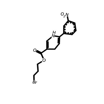 O=C(OCCCBr)C1=CNC(c2cccc([N+](=O)[O-])c2)=CC1